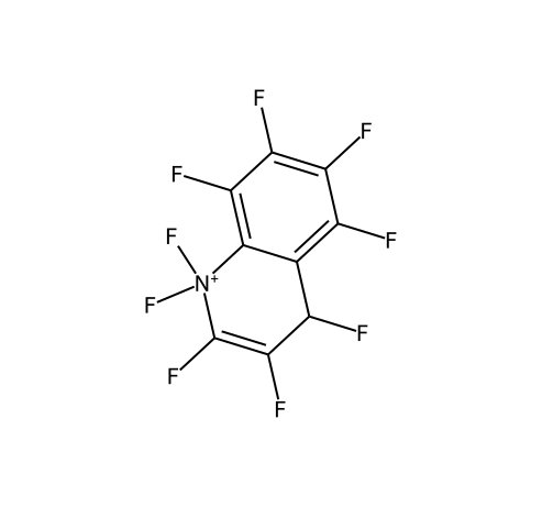 FC1=C(F)[N+](F)(F)c2c(F)c(F)c(F)c(F)c2C1F